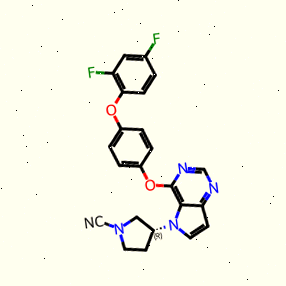 N#CN1CC[C@@H](n2ccc3ncnc(Oc4ccc(Oc5ccc(F)cc5F)cc4)c32)C1